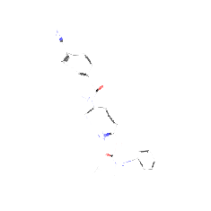 CN(C(=O)Oc1ccc(NC(=O)c2ccc(C#N)cc2)cn1)c1ccccc1